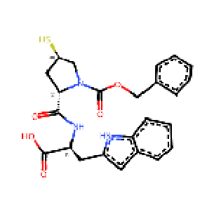 O=C(O)[C@H](Cc1cc2ccccc2[nH]1)NC(=O)[C@@H]1C[C@@H](S)CN1C(=O)OCc1ccccc1